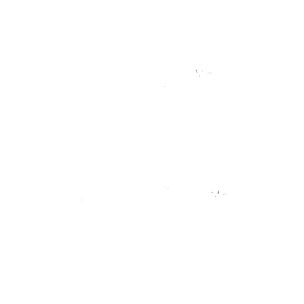 COC(=O)/C=C/C1O[C@H](C(=O)OC)C(C)[C@H](O)[C@@H]1C